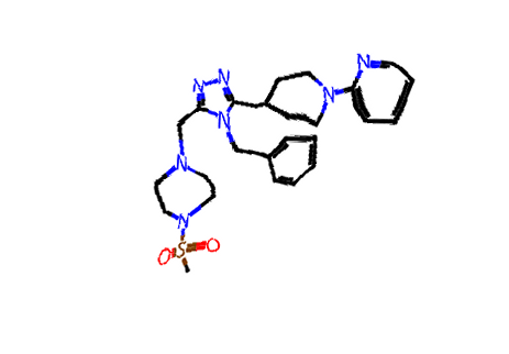 CS(=O)(=O)N1CCN(Cc2nnc(C3CCN(c4ccccn4)CC3)n2Cc2ccccc2)CC1